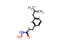 CC(C)Cc1cccc(CCC(=O)NO)c1